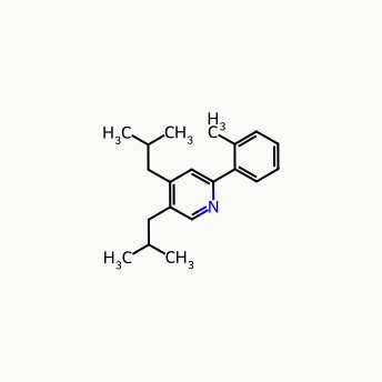 Cc1ccccc1-c1cc(CC(C)C)c(CC(C)C)cn1